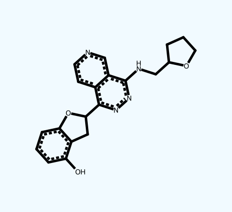 Oc1cccc2c1CC(c1nnc(NCC3CCCO3)c3cnccc13)O2